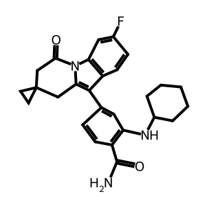 NC(=O)c1ccc(-c2c3n(c4cc(F)ccc24)C(=O)CC2(CC2)C3)cc1NC1CCCCC1